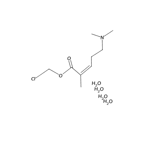 CC(=CCCN(C)C)C(=O)OCCl.O.O.O.O